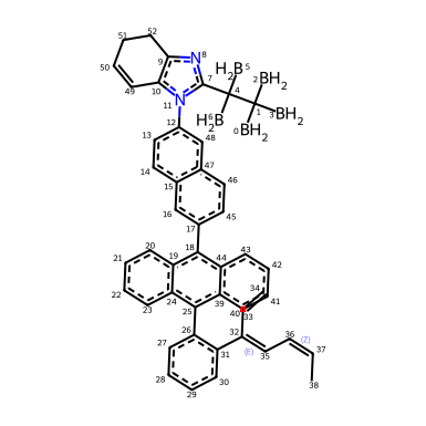 BC(B)(B)C(B)(B)c1nc2c(n1-c1ccc3cc(-c4c5ccccc5c(-c5ccccc5/C(C=C)=C/C=C\C)c5ccccc45)ccc3c1)C=CCC2